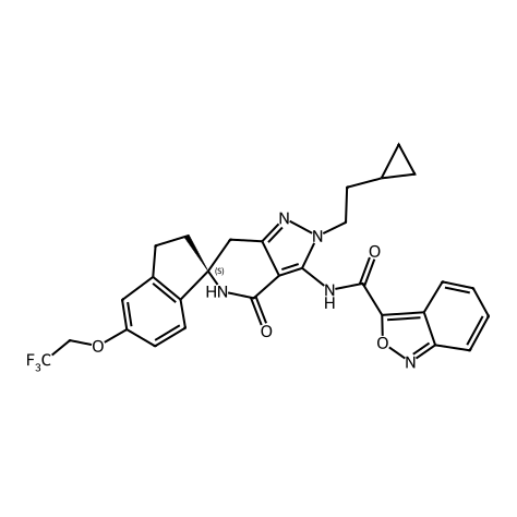 O=C1N[C@@]2(CCc3cc(OCC(F)(F)F)ccc32)Cc2nn(CCC3CC3)c(NC(=O)c3onc4ccccc34)c21